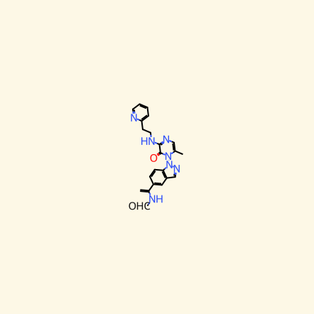 C=C(NC=O)c1ccc2c(cnn2-n2c(C)cnc(NCCc3ccccn3)c2=O)c1